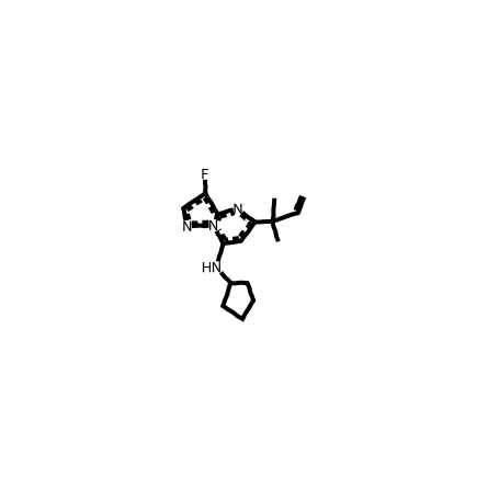 C=CC(C)(C)c1cc(NC2CCCC2)n2ncc(F)c2n1